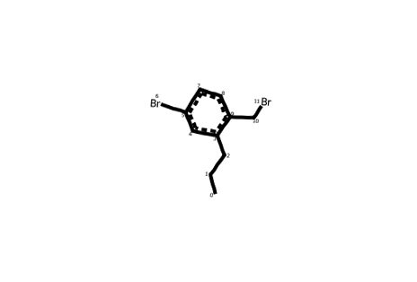 CCCc1cc(Br)ccc1CBr